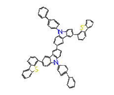 c1ccc(-c2ccc(-n3c4ccc(-c5ccc6c(c5)c5cc(-c7cccc8c7sc7ccccc78)ccc5n6-c5ccc(-c6ccccc6)cc5)cc4c4cc(-c5cccc6c5sc5ccccc56)ccc43)cc2)cc1